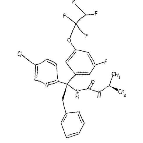 C[C@H](NC(=O)N[C@@](Cc1ccccc1)(c1cc(F)cc(OC(F)(F)C(F)F)c1)c1ccc(Cl)cn1)C(F)(F)F